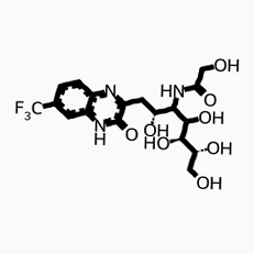 O=C(CO)NC(C(O)[C@H](O)[C@H](O)CO)[C@H](O)Cc1nc2ccc(C(F)(F)F)cc2[nH]c1=O